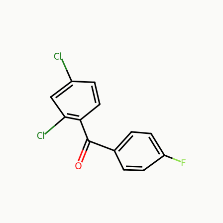 O=C(c1ccc(F)cc1)c1ccc(Cl)cc1Cl